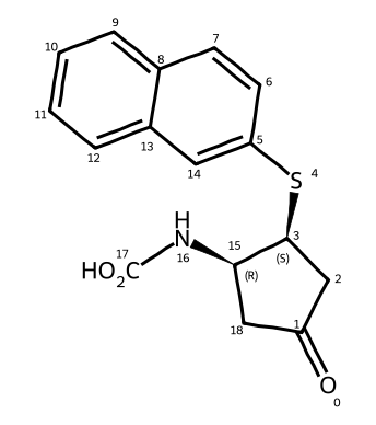 O=C1C[C@H](Sc2ccc3ccccc3c2)[C@H](NC(=O)O)C1